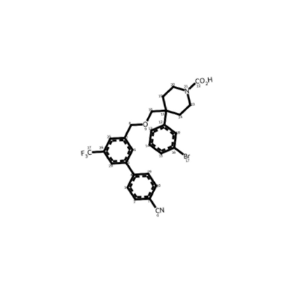 N#Cc1ccc(-c2cc(COCC3(c4cccc(Br)c4)CCN(C(=O)O)CC3)cc(C(F)(F)F)c2)cc1